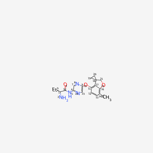 CC[C@H](N)C(=O)Nc1cnc(Oc2ccc(C)c3c2C2(CC2)CO3)cn1